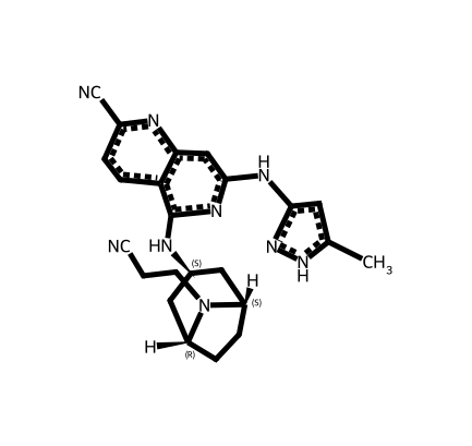 Cc1cc(Nc2cc3nc(C#N)ccc3c(N[C@@H]3C[C@H]4CC[C@@H](C3)N4CCC#N)n2)n[nH]1